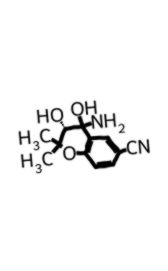 CC1(C)Oc2ccc(C#N)cc2C(N)(O)[C@H]1O